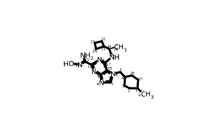 CC1CCC(Cn2cnc3nc(C(N)=NO)nc(N[C@H](C)C4CCC4)c32)CC1